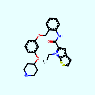 CCn1c(C(=O)Nc2ccccc2COc2cccc(OC3CCNCC3)c2)cc2ccsc21